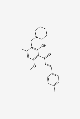 COc1cc(C)c(CN2CCCCC2)c(O)c1C(=O)/C=C/c1ccc(C)cc1